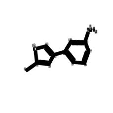 Cc1cc(-c2cccc(N)c2)co1